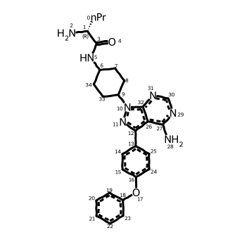 CCC[C@@H](N)C(=O)NC1CCC(n2nc(-c3ccc(Oc4ccccc4)cc3)c3c(N)ncnc32)CC1